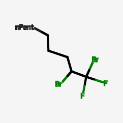 CCCCCCCCC(Br)C(F)(F)Br